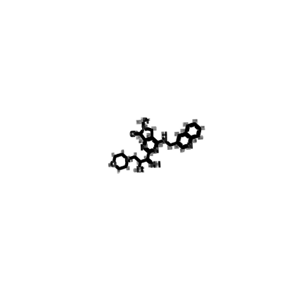 CCC(CN1CCOCC1)C(=N)c1nc(NCc2cnc3ccccc3c2)c2c(n1)C(=O)N(C(C)C)C2